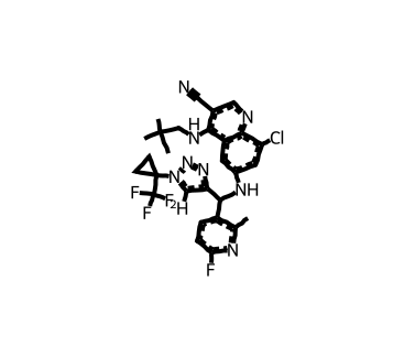 [2H]c1c(C(Nc2cc(Cl)c3ncc(C#N)c(NCC(C)(C)C)c3c2)c2ccc(F)nc2C)nnn1C1(C(F)(F)F)CC1